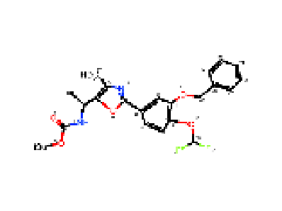 C[C@H](NC(=O)OC(C)(C)C)c1oc(-c2ccc(OC(F)F)c(OCc3ccccc3)c2)nc1C(=O)O